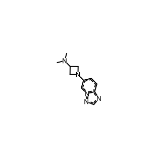 CN(C)C1CN(c2ccc3ncnn3c2)C1